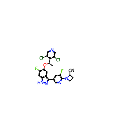 C[C@@H](Oc1cc2c(-c3cnc(N4CCC4C#N)c(F)c3)n[nH]c2cc1F)c1c(Cl)cncc1Cl